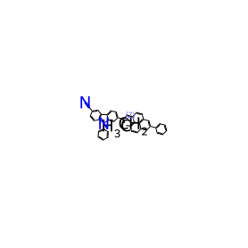 C=C(/C=c1/ccc2cc(-c3ccccc3)cc3ccc(C)c1c32)c1ccc2c3cc(C#N)ccc3n(-c3ccccc3)c2c1